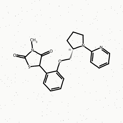 CN1C(=O)SC(c2ccccc2OC[C@@H]2CCCN2c2ccccn2)C1=O